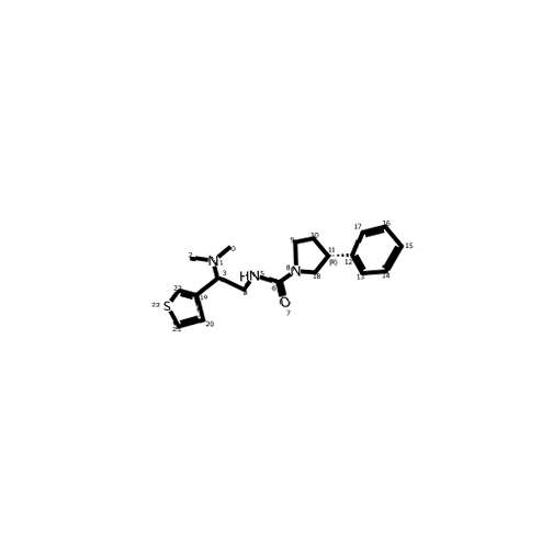 CN(C)C(CNC(=O)N1CC[C@H](c2ccccc2)C1)c1ccsc1